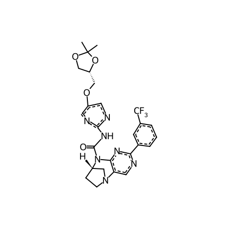 CC1(C)OC[C@@H](COc2cnc(NC(=O)N3c4nc(-c5cccc(C(F)(F)F)c5)ncc4N4CC[C@H]3C4)nc2)O1